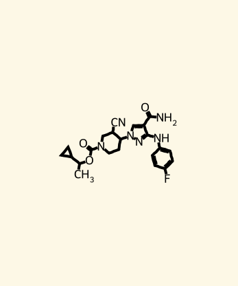 CC(OC(=O)N1CCC(n2cc(C(N)=O)c(Nc3ccc(F)cc3)n2)C(C#N)C1)C1CC1